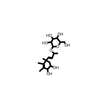 CC1=C(C)C(C)(C=CC(C)OC2OC(CO)C(O)C(O)C2O)CC(O)C1O